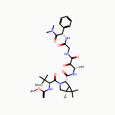 C=C(N[C@H](C(=O)N1C[C@H]2C([C@H]1C(=O)N[C@@H](CCC)C(=O)C(=O)NCC(=O)N[C@H](C(=O)N(C)C)c1ccccc1)C2(C)C)C(C)(C)OC)OC(C)C